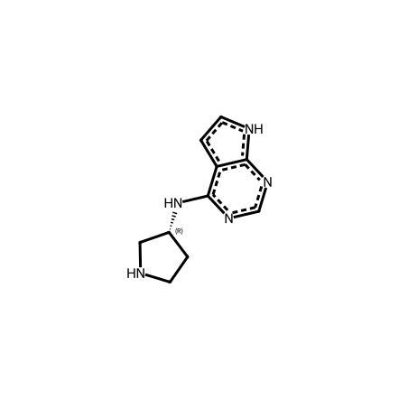 c1nc(N[C@@H]2CCNC2)c2cc[nH]c2n1